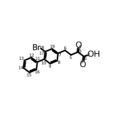 O=C(O)C(=O)CCc1ccc(-c2ccccc2)c(Br)c1